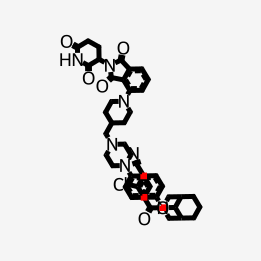 N#Cc1ccc(OC2C3CCCC2CN(C(=O)c2ccc(N4CCN(CC5CCN(c6cccc7c6C(=O)N(C6CCC(=O)NC6=O)C7=O)CC5)CC4)cc2)C3)cc1Cl